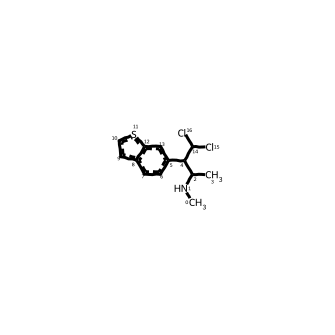 CNC(C)C(c1ccc2ccsc2c1)C(Cl)Cl